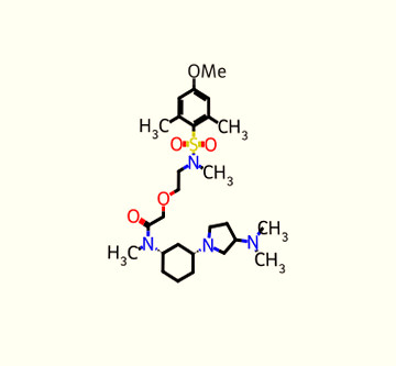 COc1cc(C)c(S(=O)(=O)N(C)CCOCC(=O)N(C)[C@H]2CCC[C@@H](N3CCC(N(C)C)C3)C2)c(C)c1